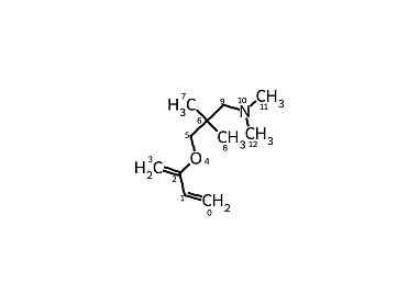 C=CC(=C)OCC(C)(C)CN(C)C